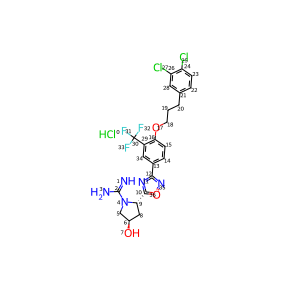 Cl.N=C(N)N1C[C@H](O)C[C@H]1c1nc(-c2ccc(OCCCc3ccc(Cl)c(Cl)c3)c(C(F)(F)F)c2)no1